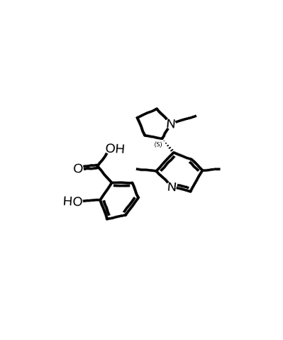 Cc1cnc(C)c([C@@H]2CCCN2C)c1.O=C(O)c1ccccc1O